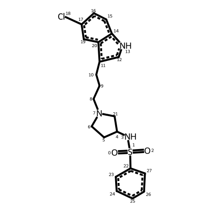 O=S(=O)(NC1CCN(CCCc2c[nH]c3ccc(Cl)cc23)C1)c1ccccc1